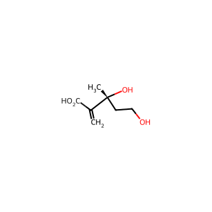 C=C(C(=O)O)[C@](C)(O)CCO